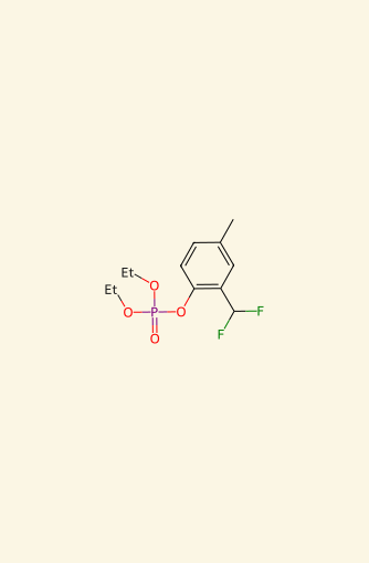 CCOP(=O)(OCC)Oc1ccc(C)cc1C(F)F